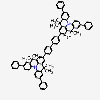 CC1(C)c2cc(-c3ccccc3)ccc2N2c3ccc(-c4ccccc4)cc3C(C)(C)c3cc(-c4ccc(-c5ccc(-c6cc7c8c(c6)C(C)(C)c6cc(-c9ccccc9)ccc6N8c6ccc(-c8ccccc8)cc6C7(C)C)cc5)cc4)cc1c32